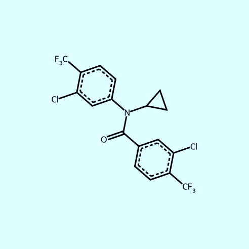 O=C(c1ccc(C(F)(F)F)c(Cl)c1)N(c1ccc(C(F)(F)F)c(Cl)c1)C1CC1